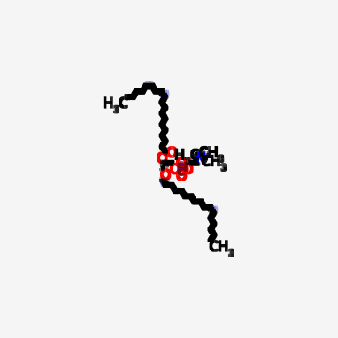 CCCCC/C=C\C/C=C\CCCCCCCCCC(=O)O[C@H](CO/C=C\CCCCCCCC/C=C\CCCCCC)COP(=O)([O-])OCC[N+](C)(C)C